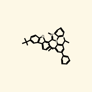 Cc1ccc2c(oc3ccc(C(C)(C)C)cc32)c1-c1n(-c2c(C(C)C)cc(-c3ccccc3)cc2C(C)C)c2ccccc2[n+]1C